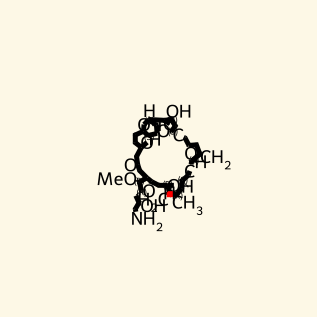 C=C1CC2CC[C@]34C[C@@H](O)C(O3)[C@@H]3OC5CCC(CC(=O)CC6C(C[C@H]7O[C@@H](CC[C@@H]1O2)C[C@@H](C)C7=C)O[C@H](CC(O)CN)[C@@H]6OC)O[C@@H]5C(O4)C3I